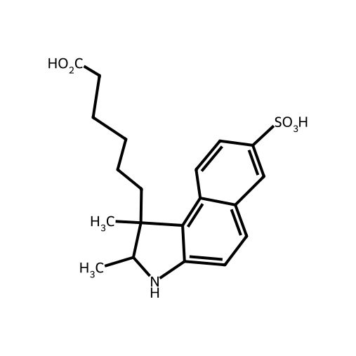 CC1Nc2ccc3cc(S(=O)(=O)O)ccc3c2C1(C)CCCCCC(=O)O